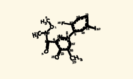 CON(C)C(=O)c1nn(-c2cc(I)ccc2F)cc(C)c1=O